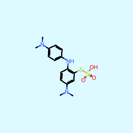 CN(C)c1ccc(Nc2ccc(N(C)C)cc2SS(=O)(=O)O)cc1